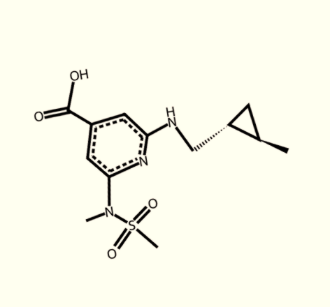 C[C@@H]1C[C@H]1CNc1cc(C(=O)O)cc(N(C)S(C)(=O)=O)n1